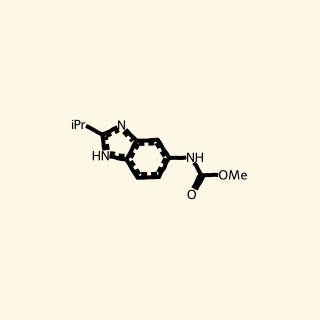 COC(=O)Nc1ccc2[nH]c(C(C)C)nc2c1